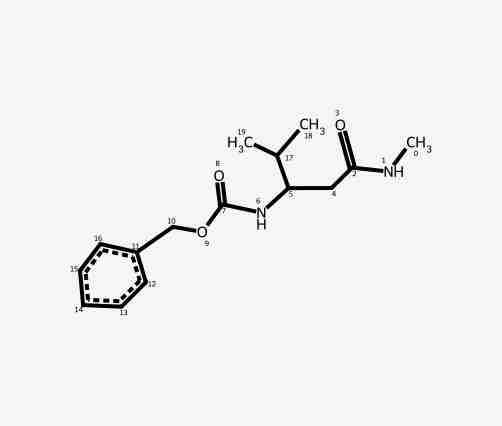 CNC(=O)CC(NC(=O)OCc1ccccc1)C(C)C